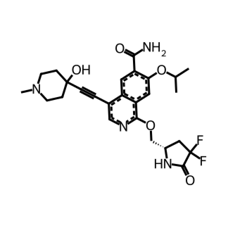 CC(C)Oc1cc2c(OC[C@@H]3CC(F)(F)C(=O)N3)ncc(C#CC3(O)CCN(C)CC3)c2cc1C(N)=O